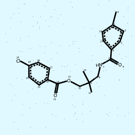 Cc1ccc(C(=O)NCC(C)(C)COC(=O)c2ccc(Cl)cc2)cc1